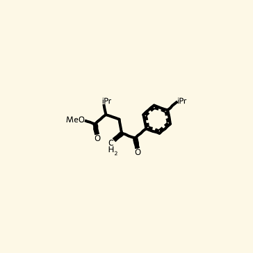 C=C(CC(C(=O)OC)C(C)C)C(=O)c1ccc(C(C)C)cc1